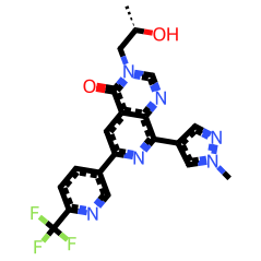 C[C@H](O)Cn1cnc2c(-c3cnn(C)c3)nc(-c3ccc(C(F)(F)F)nc3)cc2c1=O